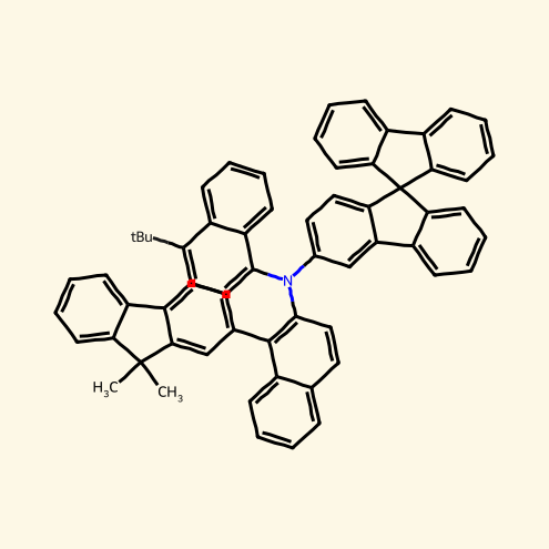 CC(C)(C)c1ccc(N(c2ccc3c(c2)-c2ccccc2C32c3ccccc3-c3ccccc32)c2ccc3ccccc3c2-c2ccc3c(c2)C(C)(C)c2ccccc2-3)c2ccccc12